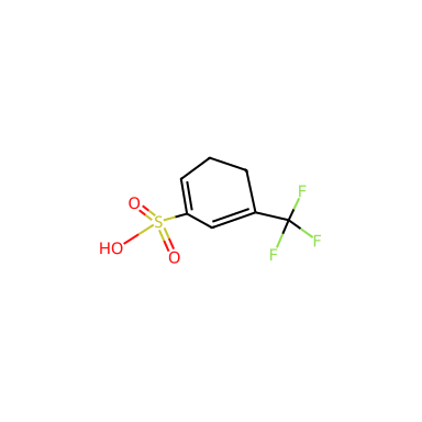 O=S(=O)(O)C1=CCCC(C(F)(F)F)=C1